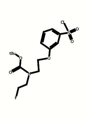 CC(C)(C)OC(=O)N(CCF)CCOc1cccc(S(=O)(=O)Cl)c1